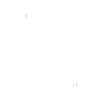 COCCC=CC(C)=O